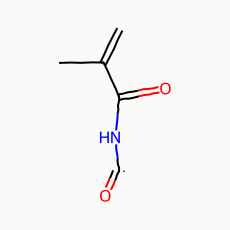 C=C(C)C(=O)N[C]=O